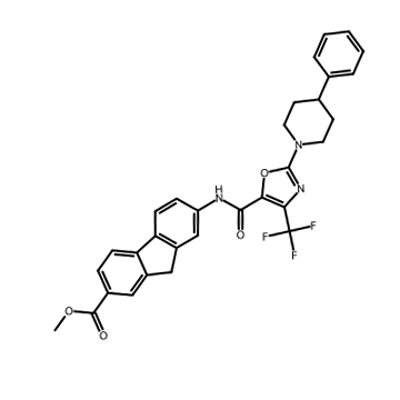 COC(=O)c1ccc2c(c1)Cc1cc(NC(=O)c3oc(N4CCC(c5ccccc5)CC4)nc3C(F)(F)F)ccc1-2